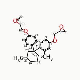 Cc1cc(OCC2CO2)ccc1C1(c2ccc(OCC3CO3)cc2)CCCC(C)C1